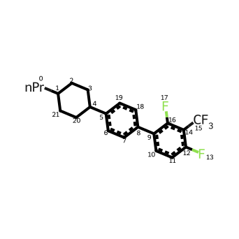 CCCC1CCC(c2ccc(-c3ccc(F)c(C(F)(F)F)c3F)cc2)CC1